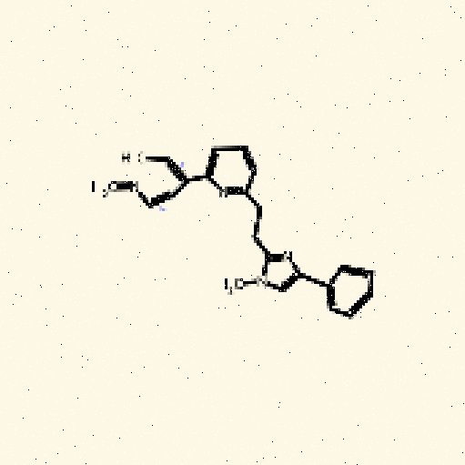 C=N/C=C\C(=C/C)c1cccc(CCc2nc(-c3ccccc3)cn2C)n1